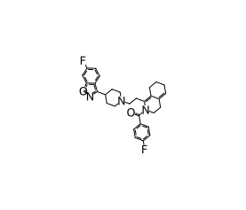 O=C(c1ccc(F)cc1)N1CCC2=CCCCC2=C1CCN1CCC(c2noc3cc(F)ccc23)CC1